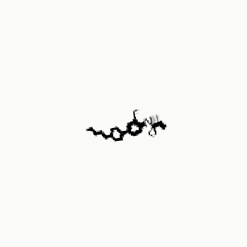 C=CC(=O)Nc1ccc(C2CCC(CCCCC)CC2)cc1F